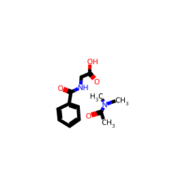 CC(=O)N(C)C.O=C(O)CNC(=O)c1ccccc1